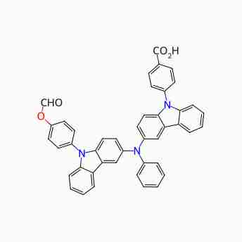 O=COc1ccc(-n2c3ccccc3c3cc(N(c4ccccc4)c4ccc5c(c4)c4ccccc4n5-c4ccc(C(=O)O)cc4)ccc32)cc1